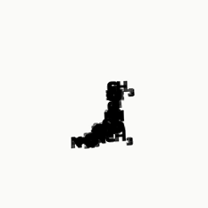 CC(c1cccc(-c2ncc(OCC3CCN(C)CC3)cn2)c1)n1c(=O)ccn2c3cc(C#N)ccc3nc12